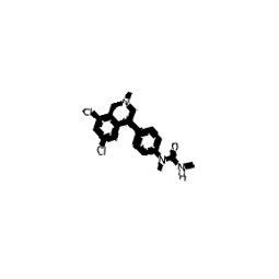 CNC(=O)N(C)c1ccc(C2CN(C)Cc3c(Cl)cc(Cl)cc32)cc1